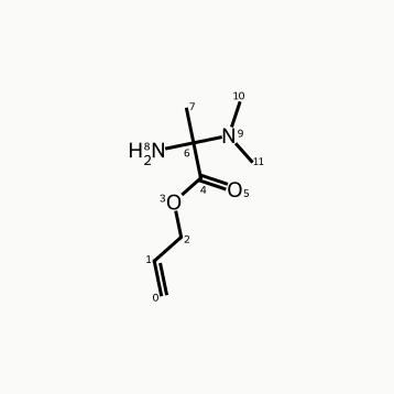 C=CCOC(=O)C(C)(N)N(C)C